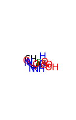 COc1ncc(-c2cnc3[nH]cc(C(=O)c4cccc(NS(=O)(=O)CCC(=O)O)c4F)c3c2)cn1